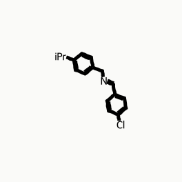 CC(C)c1ccc(CN=Cc2ccc(Cl)cc2)cc1